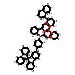 c1ccc(-c2cccc(-c3ccccc3N(c3ccc(-c4ccc5c(c4)C(c4ccccc4)(c4ccccc4)c4ccccc4-5)cc3)c3cccc(-c4cccc(-c5cccc6ccccc56)c4)c3)c2)cc1